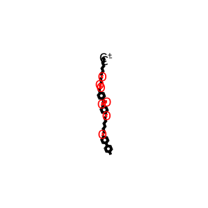 [CH2+][CH-]CCCCCOCCOOCC1CCC(C(=O)OC2CCC(OCCCCCCOC3CCC(C4CCC(C)CC4)CC3)CC2)CC1